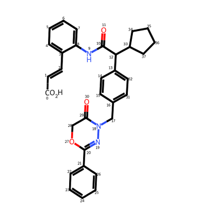 O=C(O)/C=C/c1ccccc1NC(=O)C(c1ccc(CN2N=C(c3ccccc3)OCC2=O)cc1)C1CCCC1